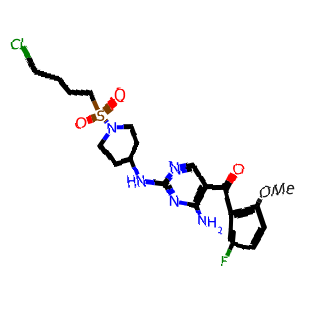 COc1ccc(F)cc1C(=O)c1cnc(NC2CCN(S(=O)(=O)CCCCCl)CC2)nc1N